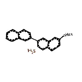 CCCCCCc1ccc2ccc(-c3ccc4ccccc4c3)cc2c1.S